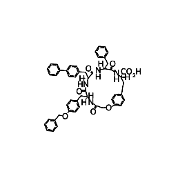 O=C1COc2ccc(cc2)C[C@@H](C(=O)O)NC(=O)[C@H](Cc2ccccc2)NC(=O)[C@H](Cc2ccc(-c3ccccc3)cc2)NC(=O)[C@H](Cc2ccc(OCc3ccccc3)cc2)N1